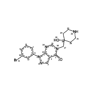 O=c1c2cnn(-c3cccc(Br)c3)c2ncn1CC1(O)CCNCC1